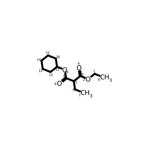 CCOC(=O)C(CC)C(=O)OC1CCCCC1